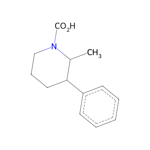 CC1C(c2ccccc2)CCCN1C(=O)O